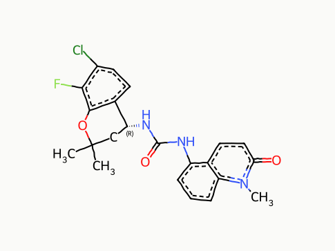 Cn1c(=O)ccc2c(NC(=O)N[C@@H]3CC(C)(C)Oc4c3ccc(Cl)c4F)cccc21